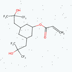 C=CC(=O)OC1CC(CC(O)(C(F)(F)F)C(F)(F)F)CC(CC(O)(C(F)(F)F)C(F)(F)F)C1